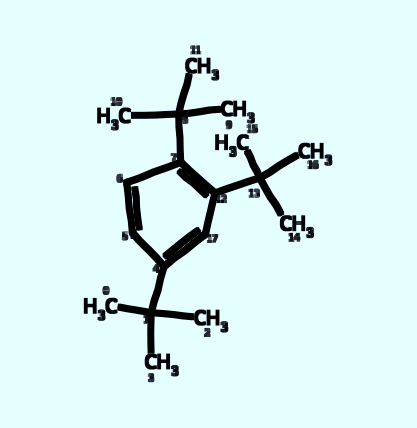 CC(C)(C)c1[c]cc(C(C)(C)C)c(C(C)(C)C)c1